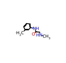 [CH2]c1cccc(NC(=O)CNC)c1